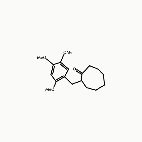 COc1cc(OC)c(OC)cc1CC1CCCCCCC1=O